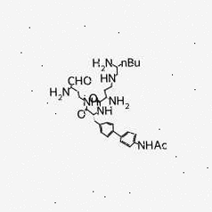 CCCC[C@H](N)CNCC[C@H](N)C(=O)N[C@H](Cc1ccc(-c2ccc(NC(C)=O)cc2)cc1)C(=O)NCC[C@@H](N)C=O